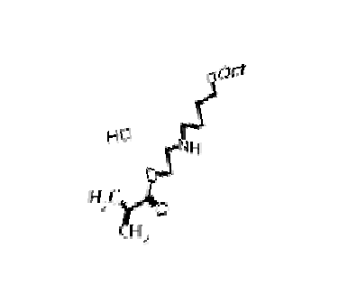 C=C(C)C(=O)OCCNCCCCCCCCCCCC.Cl